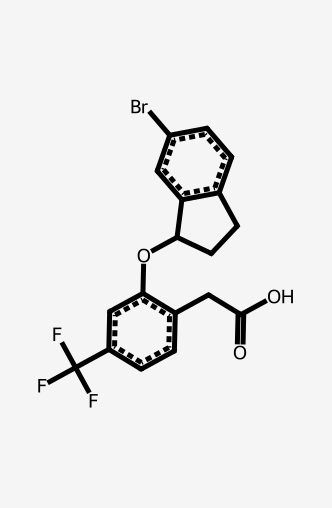 O=C(O)Cc1ccc(C(F)(F)F)cc1OC1CCc2ccc(Br)cc21